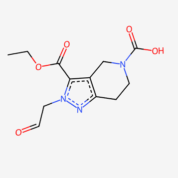 CCOC(=O)c1c2c(nn1CC=O)CCN(C(=O)O)C2